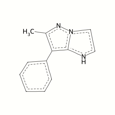 Cc1nn2cc[nH]c2c1-c1ccccc1